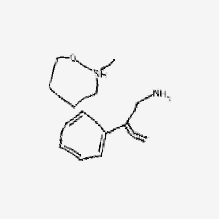 C=C(CN)c1ccccc1.C[SiH]1CCCCO1